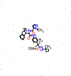 COCC(C)(C(=O)NCC1(C)CCC1)c1ccc(NC(=O)[C@@H](NC(=O)c2ccnn2C)C2c3ccccc3CC23CC3)cc1